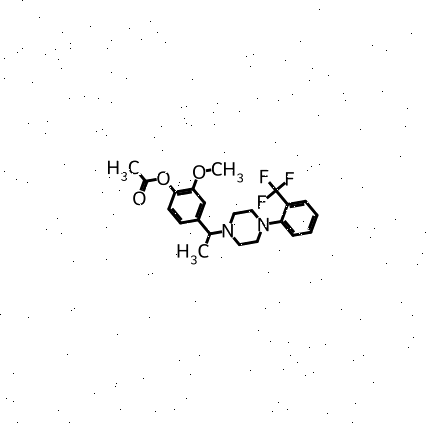 COc1cc(C(C)N2CCN(c3ccccc3C(F)(F)F)CC2)ccc1OC(C)=O